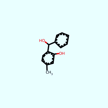 Cc1ccc(C(O)c2ccccc2)c(O)c1